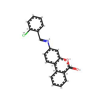 O=c1oc2cc(/N=C/c3ccccc3Cl)ccc2c2ccccc12